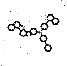 c1ccc(-c2ccc(N(c3ccc(-c4cccc5ccccc45)cc3)c3ccc4c(c3)oc3ccc5c(sc6ccc7ccccc7c65)c34)cc2)cc1